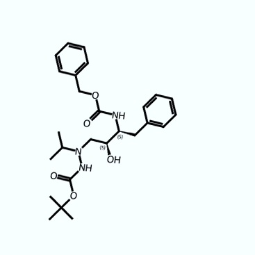 CC(C)N(C[C@H](O)[C@H](Cc1ccccc1)NC(=O)OCc1ccccc1)NC(=O)OC(C)(C)C